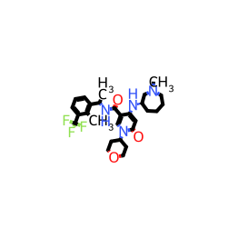 Cc1c(C(C)NC(=O)c2cn(C3CCOCC3)c(=O)cc2N[C@@H]2CCCCN(C)C2)cccc1C(F)(F)F